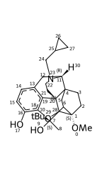 CO[C@@]12CCC3(CC1[C@](C)(O)C(C)(C)C)[C@H]1Cc4ccc(O)c5c4[C@@]3(CCN1CC1CC1)C2O5